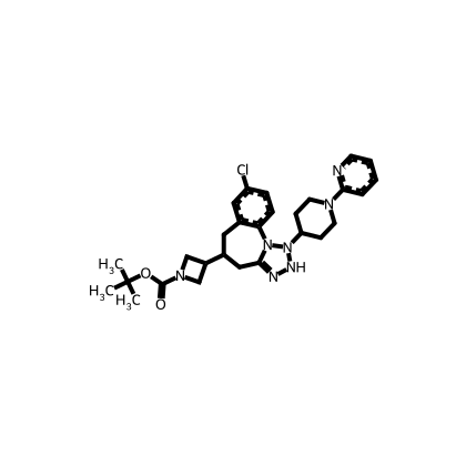 CC(C)(C)OC(=O)N1CC(C2CC3=NNN(C4CCN(c5ccccn5)CC4)N3c3ccc(Cl)cc3C2)C1